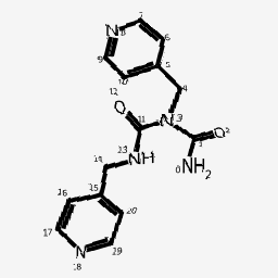 NC(=O)N(Cc1ccncc1)C(=O)NCc1ccncc1